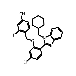 N#Cc1ccc(COc2cc(Cl)ccc2-c2nc3ccccc3n2CC2CCCCC2)c(F)c1